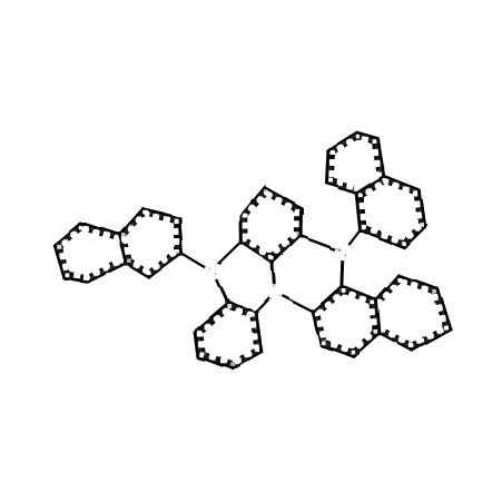 c1ccc2c(c1)B1c3ccc4ccccc4c3N(c3cccc4ccccc34)c3cccc(c31)N2c1ccc2ccccc2c1